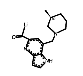 [Li][C](=O)c1cc(CN2CCC[C@H](C)C2)c2[nH]ccc2n1